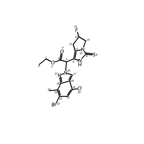 CCOC(=O)C(c1[nH]c(=S)n2c1CC(F)C2)n1cc2c(Cl)cc(Br)c(C)c2n1